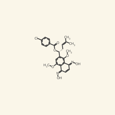 COc1cc([C@@H](CC=C(C)C)OC(=O)c2ccc(Cl)cc2)c(OC)c2c1C(=NO)C=CC2=NO